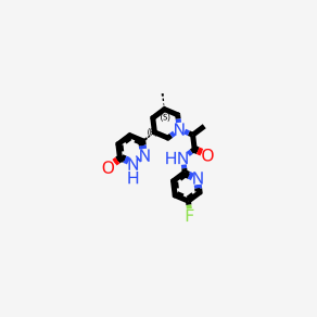 CC(C(=O)Nc1ccc(F)cn1)N1C[C@@H](C)C[C@@H](c2ccc(=O)[nH]n2)C1